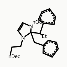 CCCCCCCCCCCCN1C=CN(CCCCCCCC)C1(Cc1ccccc1)C(CC)c1ccccc1